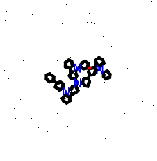 c1ccc(-c2ccc(-n3c4ccccc4c4ccc(N(c5cccc(-c6ccc7c8ccccc8n(-c8ccccc8)c7c6)c5)c5ccc6c7ccccc7n(-c7ccccc7)c6c5)cc43)cc2)cc1